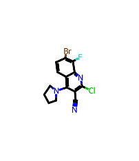 N#Cc1c(Cl)nc2c(F)c(Br)ccc2c1N1CCCC1